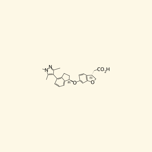 Cc1nn(C)c(C)c1-c1cccc2c1CC[C@H]2Oc1ccc2c(c1)OC[C@H]2CC(=O)O